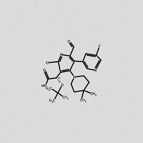 CC1(C)CCN(c2c(-c3cncc(F)c3)c(C=O)nc(Cl)c2[C@H](OC(C)(C)C)C(=O)O)CC1